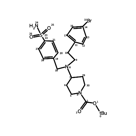 CC(C)(C)OC(=O)N1CCC(N(CCc2ccc(Br)cc2)Cc2ccc(S(N)(=O)=O)cc2)CC1